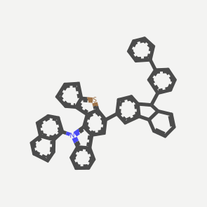 C1=CC2c3cc(-c4cc5c6ccccc6n(-c6cccc7ccccc67)c5c5c4sc4ccccc45)ccc3C(c3cccc(-c4ccccc4)c3)C2C=C1